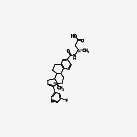 C[C@@H](CC(=O)O)NC(=O)c1ccc2c(c1)CCC1C2CC[C@]2(C)C(c3cncc(F)c3)=CCC12